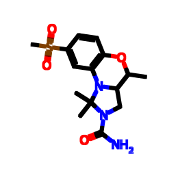 CC1Oc2ccc(S(C)(=O)=O)cc2N2C1CN(C(N)=O)C2(C)C